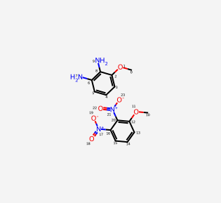 COc1cccc(N)c1N.COc1cccc([N+](=O)[O-])c1[N+](=O)[O-]